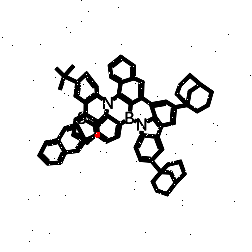 CC(C)(C)c1ccc(N2c3c4c(cc5ccccc35)-c3cc(C56CCCC(CCC5)C6)cc5c6cc(C78CCCC(CCC7)C8)ccc6n(c35)B4c3ccc4c(sc5cc6ccccc6cc54)c32)c(-c2ccccc2)c1